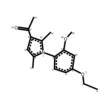 CCOc1ccc(-n2c(C)cc(C(C)=O)c2C)c(OC)c1